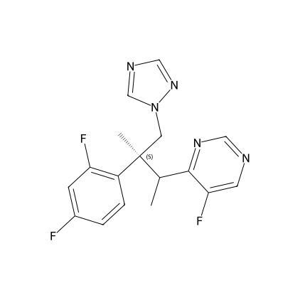 CC(c1ncncc1F)[C@](C)(Cn1cncn1)c1ccc(F)cc1F